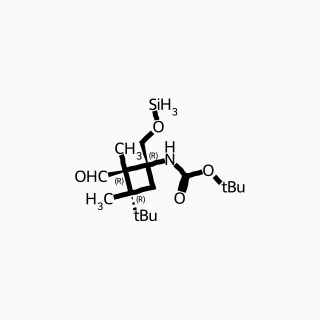 CC(C)(C)OC(=O)N[C@]1(CO[SiH3])C[C@](C)(C(C)(C)C)[C@@]1(C)C=O